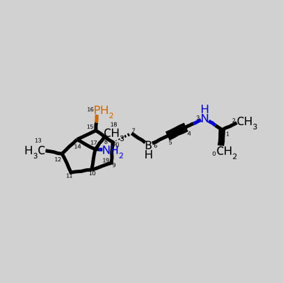 C=C(C)NC#CBC[C@@H]1CC2CC(C)C(C1P)C2(C)N